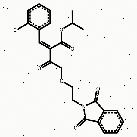 CC(C)OC(=O)/C(=C\c1ccccc1Cl)C(=O)COCCN1C(=O)c2ccccc2C1=O